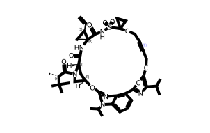 C=C[C@@H]1C[C@@]12NC(=O)[C@@H]1C[C@H](CN1C(=O)[C@@H](C)C(C)(C)C)Oc1nc3c(cccc3n1C(C)C)C1=NC(C(C)C)=C(CC/C=C/CCC3(CC3)S(=O)(=O)NC2=O)C1